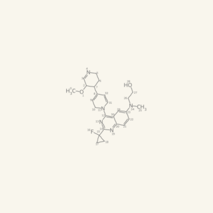 COC1C=NCCC1C1=CCN(c2nc(C3(F)CC3)nc3ccc(N(C)CCO)cc23)C=C1